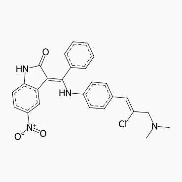 CN(C)CC(Cl)=Cc1ccc(NC(=C2C(=O)Nc3ccc([N+](=O)[O-])cc32)c2ccccc2)cc1